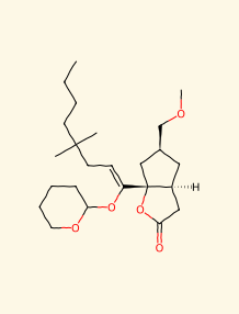 CCCCC(C)(C)CC=C(OC1CCCCO1)[C@@]12C[C@@H](COC)C[C@H]1CC(=O)O2